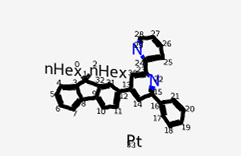 CCCCCCC1(CCCCCC)c2ccccc2-c2ccc(-c3cc(-c4ccccc4)nc(-c4ccccn4)c3)cc21.[Pt]